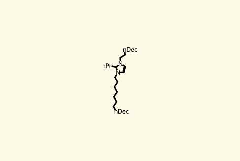 CCCCCCCCCCCCCCCCCN1C=CN(CCCCCCCCCCCC)C1CCC